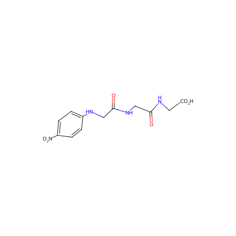 O=C(O)CNC(=O)CNC(=O)CNc1ccc([N+](=O)[O-])cc1